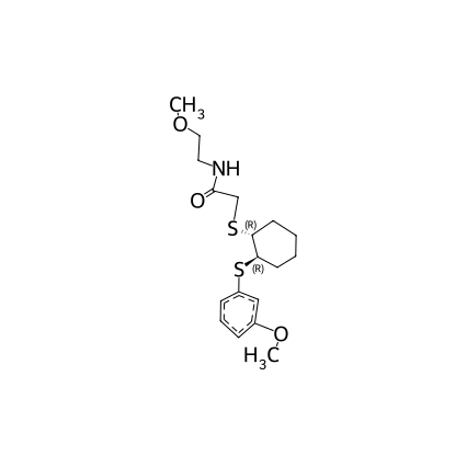 COCCNC(=O)CS[C@@H]1CCCC[C@H]1Sc1cccc(OC)c1